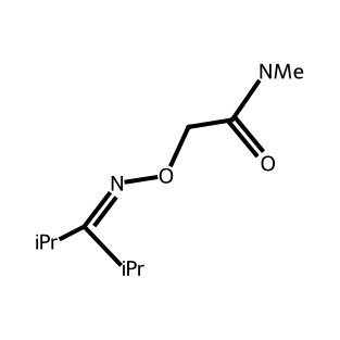 CNC(=O)CON=C(C(C)C)C(C)C